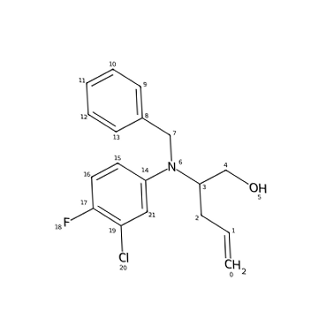 C=CCC(CO)N(Cc1ccccc1)c1ccc(F)c(Cl)c1